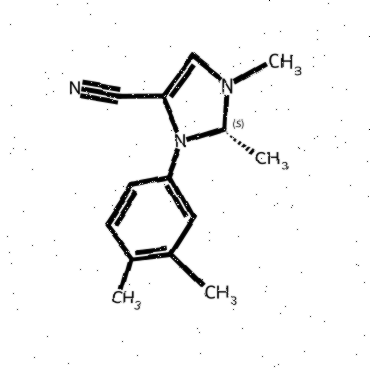 Cc1ccc(N2C(C#N)=CN(C)[C@@H]2C)cc1C